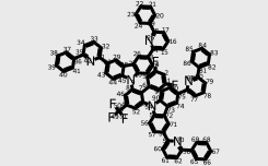 Fc1cc(F)cc(-c2c(-n3c4ccc(-c5cccc(-c6ccccc6)n5)cc4c4cc(-c5cccc(-c6ccccc6)n5)ccc43)cc(C(F)(F)F)cc2-n2c3ccc(-c4cccc(-c5ccccc5)n4)cc3c3cc(-c4cccc(-c5ccccc5)n4)ccc32)c1